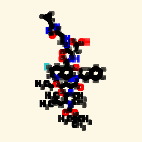 CCOCCC(C(=O)N[C@@H](COc1ccc2ncc(F)cc2c1C(=O)N[C@@H](CC(=O)O)C(=O)NCCc1nc(C2CC2)no1)Cc1ccccc1)N(C)C(=O)[C@H](CC(C)C)N(C)C(=O)OC(C)(C)C